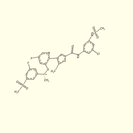 Cc1sc(C(=O)Nc2cc(Cl)cc(NS(C)(=O)=O)c2)cc1-c1ncc(F)cc1O[C@H](C)c1cc(F)cc(S(C)(=O)=O)c1